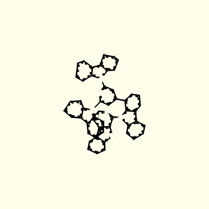 c1ccc2c(c1)sc1c(-n3c4ccccc4c4cccc(-c5cc(-n6c7ccccc7c7ccccc76)nc(-n6c7ccccc7c7ccccc76)c5)c43)nccc12